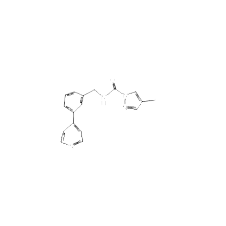 O=C(NCc1cccc(-c2ccncc2)c1)n1cc(C(F)(F)F)cn1